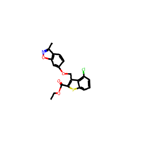 CCOC(=O)c1sc2cccc(Cl)c2c1COc1ccc2c(C)noc2c1